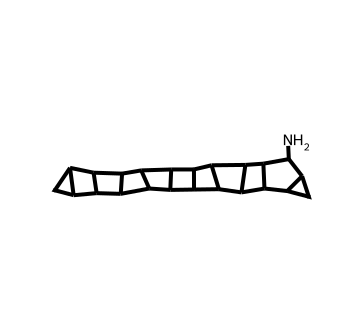 NC1C2CC2C2C1C1C2C2C1C1C2C2C3C4C5C6CC6C5C4C3C12